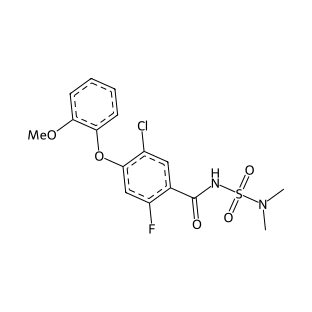 COc1ccccc1Oc1cc(F)c(C(=O)NS(=O)(=O)N(C)C)cc1Cl